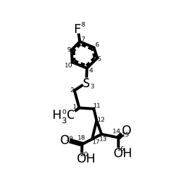 CC(CSc1ccc(F)cc1)CC1C(C(=O)O)C1C(=O)O